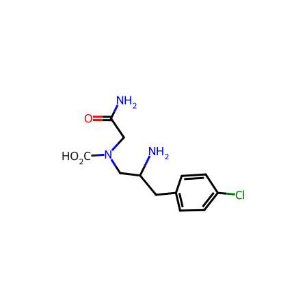 NC(=O)CN(CC(N)Cc1ccc(Cl)cc1)C(=O)O